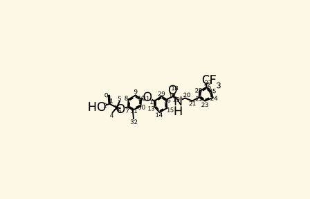 C=C(O)C(C)(C)Oc1ccc(Oc2cccc(C(=O)NCCc3cccc(C(F)(F)F)c3)c2)cc1C